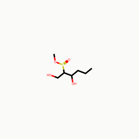 CCCC(O)C(CO)S(=O)OC